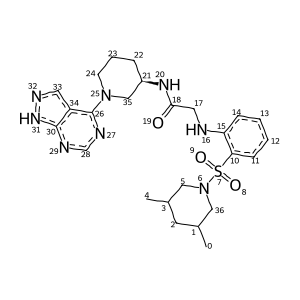 CC1CC(C)CN(S(=O)(=O)c2ccccc2NCC(=O)N[C@@H]2CCCN(c3ncnc4[nH]ncc34)C2)C1